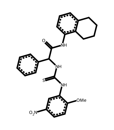 COc1ccc([N+](=O)[O-])cc1NC(=S)NC(C(=O)Nc1cccc2c1CCCC2)c1ccccc1